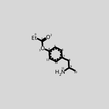 CCC(=O)Oc1ccc(CC(C)N)cc1